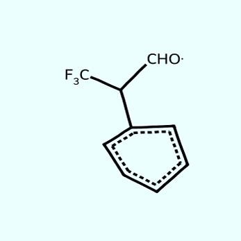 O=[C]C(c1ccccc1)C(F)(F)F